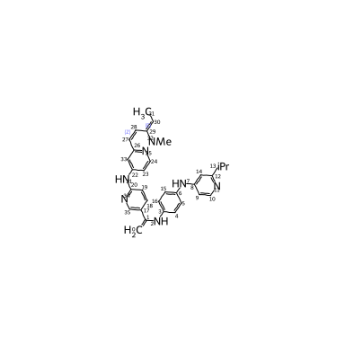 C=C(Nc1ccc(Nc2ccnc(C(C)C)c2)cc1)c1ccc(Nc2ccnc(/C=C\C(=C/C)NC)c2)nc1